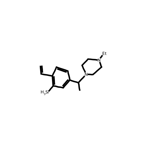 C=Cc1ccc(C(C)N2CCN(CC)CC2)cc1[SiH3]